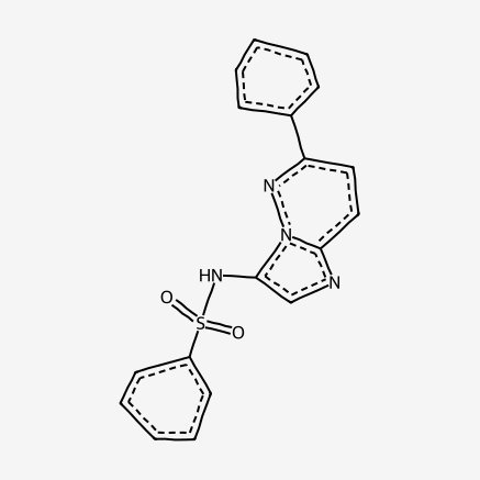 O=S(=O)(Nc1cnc2ccc(-c3ccccc3)nn12)c1ccccc1